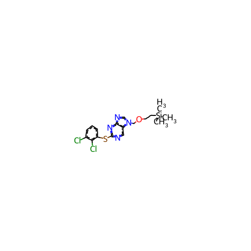 C[Si](C)(C)CCOCn1cnc2nc(Sc3cccc(Cl)c3Cl)ncc21